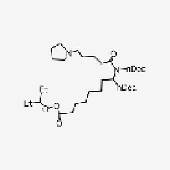 CCCCCCCCCCC(CCCCCCC(=O)OOC(CC)CC)N(CCCCCCCCCC)C(=O)CCCCN1CCCC1